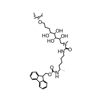 CSP(I)OCCC[C@@H](O)[C@@H](O)[C@H](O)[C@@H](O)CN(C)C(=O)NCCCC[C@H](C)NC(=O)OCC1c2ccccc2-c2ccccc21